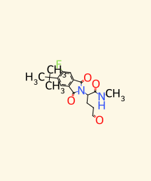 CNC(=O)C(CCC=O)N1C(=O)c2cc(F)c(C(C)(C)C)cc2C1=O